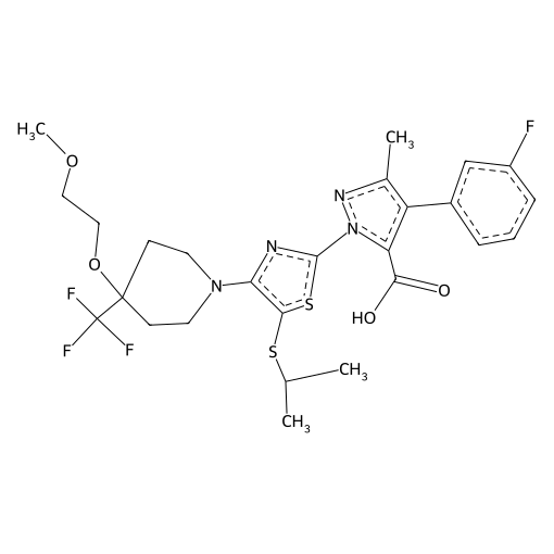 COCCOC1(C(F)(F)F)CCN(c2nc(-n3nc(C)c(-c4cccc(F)c4)c3C(=O)O)sc2SC(C)C)CC1